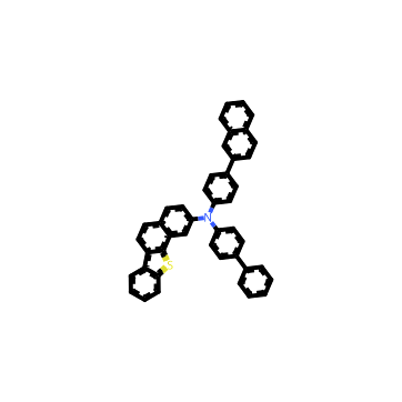 c1ccc(-c2ccc(N(c3ccc(-c4ccc5ccccc5c4)cc3)c3ccc4ccc5c6ccccc6sc5c4c3)cc2)cc1